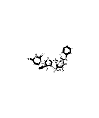 C#C[C@]1(C)[C@H](O)[C@@H](COP(=O)(N[C@@H](C)C(=O)OCC(C)C)Oc2ccccc2)O[C@H]1n1ccc(=O)[nH]c1=O